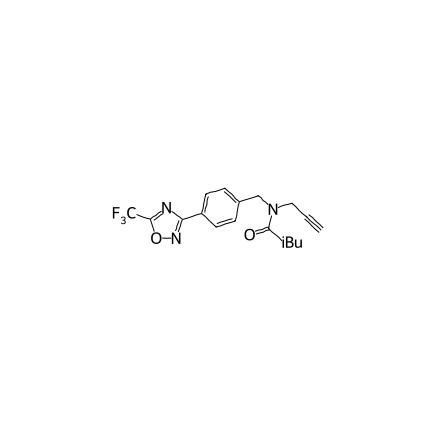 C#CCN(Cc1ccc(-c2noc(C(F)(F)F)n2)cc1)C(=O)C(C)CC